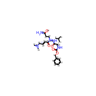 CC(C)C[C@H](NC(=O)OCc1ccccc1)C(=O)NN(CCC(N)=O)C(=O)/C=C/CN(C)C